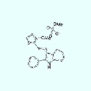 COS(=O)(=O)[O-].CO[n+]1ccsc1N=Nc1c(-c2ccccc2)[nH]c2ccccc12